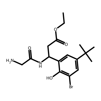 CCOC(=O)CC(NC(=O)CN)c1cc(C(C)(C)C)cc(Br)c1O